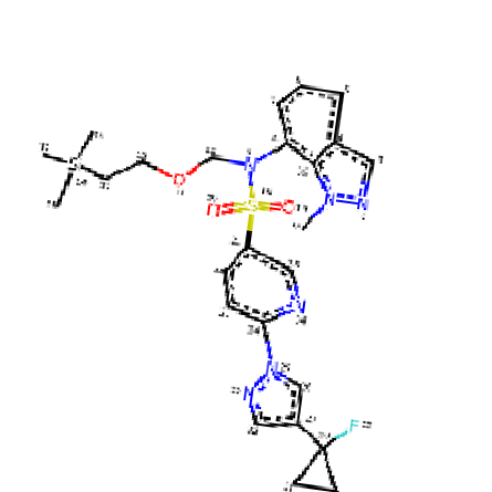 Cn1ncc2cccc(N(COCC[Si](C)(C)C)S(=O)(=O)c3ccc(-n4cc(C5(F)CC5)cn4)nc3)c21